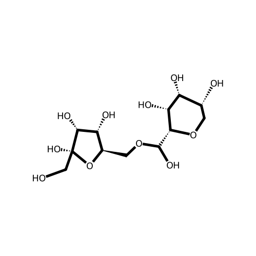 OC[C@]1(O)O[C@H](COC(O)[C@H]2OC[C@@H](O)[C@@H](O)[C@H]2O)[C@@H](O)[C@H]1O